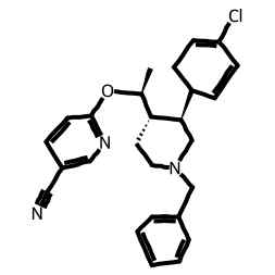 C[C@H](Oc1ccc(C#N)cn1)[C@H]1CCN(Cc2ccccc2)C[C@@H]1C1C=CC(Cl)=CC1